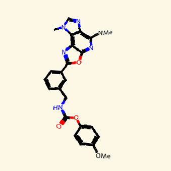 CNc1nc2oc(-c3cccc(CNC(=O)Oc4ccc(OC)cc4)c3)nc2c2c1ncn2C